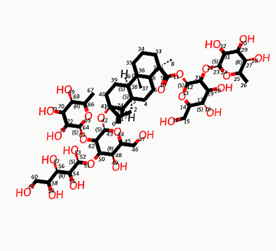 C=C1C[C@@]23CCC4[C@](C)(C(=O)O[C@@H]5OC(CO)[C@@H](O)C(O)C5O[C@@H]5OC(C)[C@H](O)C(O)C5O)CCC[C@@]4(C)[C@@H]2CC[C@]1(O[C@@H]1OC(CO)[C@@H](O)C(O[C@H](O)C(O)[C@H](O)C(O)CO)C1O[C@@H]1OC(C)[C@H](O)C(O)C1O)[C@@H]3C